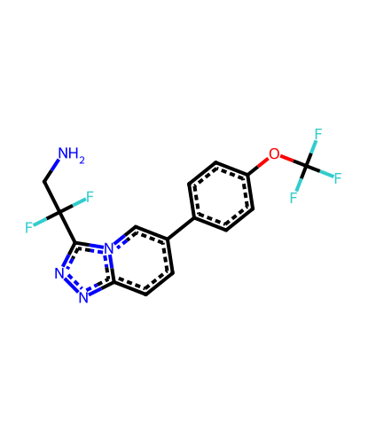 NCC(F)(F)c1nnc2ccc(-c3ccc(OC(F)(F)F)cc3)cn12